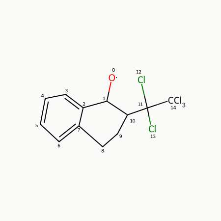 [O]C1c2ccccc2CCC1C(Cl)(Cl)C(Cl)(Cl)Cl